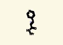 CCCNC(=O)/C=C/c1ccncc1